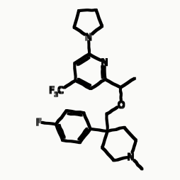 CC(OCC1(c2ccc(F)cc2)CCN(C)CC1)c1cc(C(F)(F)F)cc(N2CCCC2)n1